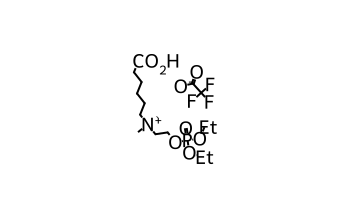 CCOP(=O)(OCC)OCC[N+](C)(C)CCCCCC(=O)O.O=C([O-])C(F)(F)F